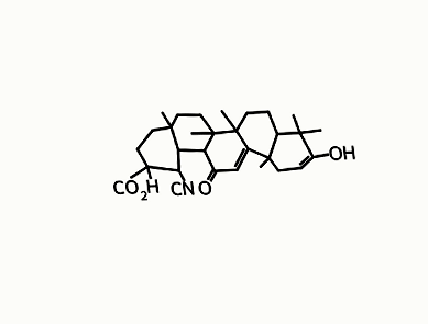 CC12CCC(C)(C(=O)O)C(C#N)C1C1C(=O)C=C3C4(C)CC=C(O)C(C)(C)C4CCC3(C)C1(C)CC2